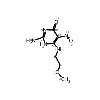 COCCNc1[nH]c(N)nc(=O)c1N=O